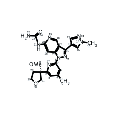 CO[C@@]1(c2cc(C)cc(-n3nc(-c4cnn(C)c4)c4cnc(NC(N)=O)cc43)n2)CCOC1